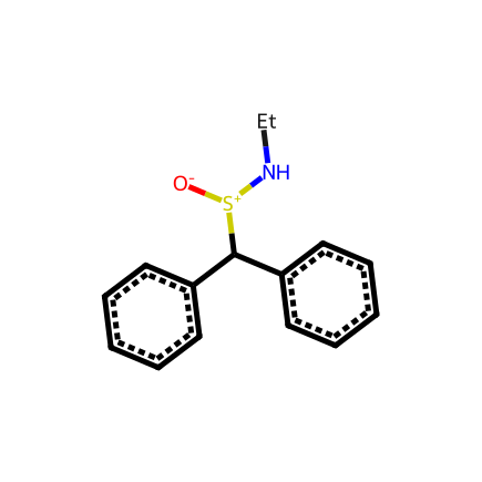 CCN[S+]([O-])C(c1ccccc1)c1ccccc1